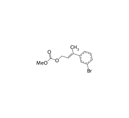 COC(=O)OCC=C(C)c1cccc(Br)c1